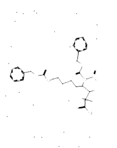 NC(=O)C(F)(F)C(O)C(CCCCNC(=O)OCc1ccccc1)N(C(=O)OCc1ccccc1)[N+](=O)[O-]